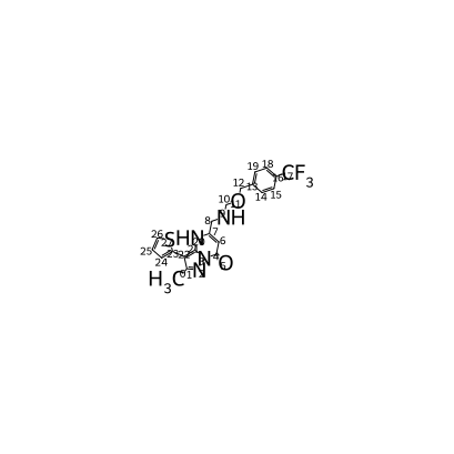 Cc1nn2c(=O)cc(CNCOCc3ccc(C(F)(F)F)cc3)[nH]c2c1-c1cccs1